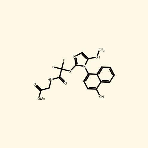 CBc1cnc(SC(F)(F)C(=O)NCC(=O)OC)n1-c1ccc(C#N)c2ccccc12